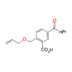 C=CCOCc1ccc(C(=O)CCC)cc1C(=O)O